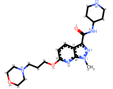 Cn1nc(C(=O)NC2CCNCC2)c2ccc(OCCCN3CCOCC3)nc21